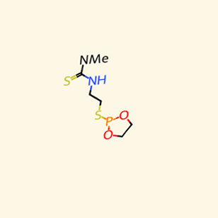 CNC(=S)NCCSP1OCCO1